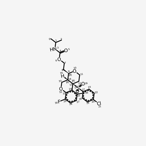 CC(C)NC(=O)OCC[C@H]1OCC[C@]2(S(=O)(=O)c3ccc(Cl)cc3)c3c(F)ccc(F)c3OC[C@H]12